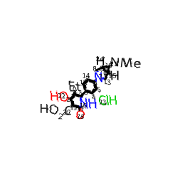 CCc1c(-c2ccc(N3C[C@@H]4C(NC)[C@@H]4C3)cc2)[nH]c(=O)c(C(=O)O)c1O.Cl